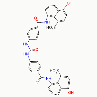 O=C(Nc1ccc(C(=O)Nc2cccc3c(O)ccc(S(=O)(=O)O)c23)cc1)Nc1ccc(C(=O)Nc2cccc3c(O)ccc(S(=O)(=O)O)c23)cc1